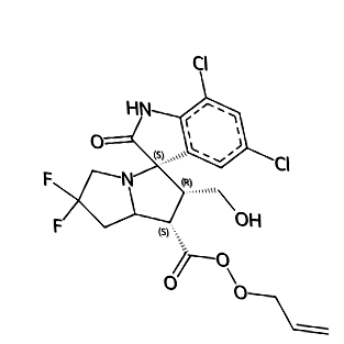 C=CCOOC(=O)[C@@H]1C2CC(F)(F)CN2[C@@]2(C(=O)Nc3c(Cl)cc(Cl)cc32)[C@@H]1CO